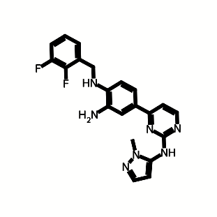 Cn1nccc1Nc1nccc(-c2ccc(NCc3cccc(F)c3F)c(N)c2)n1